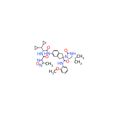 COc1ccccc1NC(=O)C1(N2C[C@@H](C(C)C)NC2=O)Cc2ccc(NC(=O)[C@@H](NC(=O)c3nonc3C)C(C3CC3)C3CC3)cc2C1